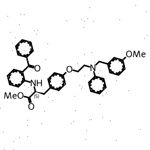 COC(=O)[C@H](Cc1ccc(OCCN(Cc2cccc(OC)c2)c2ccccc2)cc1)Nc1ccccc1C(=O)c1ccccc1